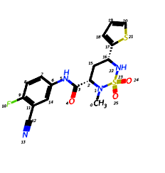 CN1[C@H](C(=O)Nc2ccc(F)c(C#N)c2)C[C@H](c2cccs2)NS1(=O)=O